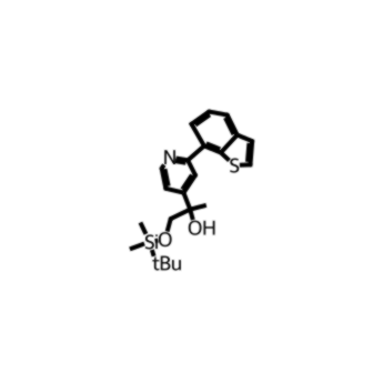 CC(O)(CO[Si](C)(C)C(C)(C)C)c1ccnc(-c2cccc3ccsc23)c1